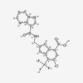 COC(=O)c1cc(Cl)c(C(F)(F)F)c2cc(CNC(=O)c3cnn4cccnc34)oc12